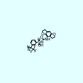 O=C(Nc1c2c(cc3c1OCC3)OCC2)NS(=O)(=O)c1cccc(C2(C(F)(F)F)N=N2)c1